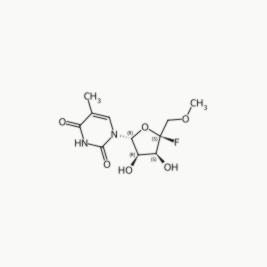 COC[C@@]1(F)O[C@@H](n2cc(C)c(=O)[nH]c2=O)[C@H](O)[C@@H]1O